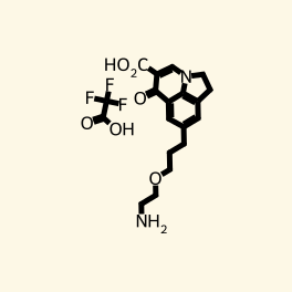 NCCOCCCc1cc2c3c(c1)c(=O)c(C(=O)O)cn3CC2.O=C(O)C(F)(F)F